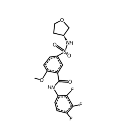 COc1ccc(S(=O)(=O)N[C@H]2CCOC2)cc1C(=O)Nc1ccc(F)c(F)c1F